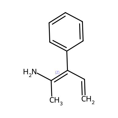 C=C/C(=C(\C)N)c1ccccc1